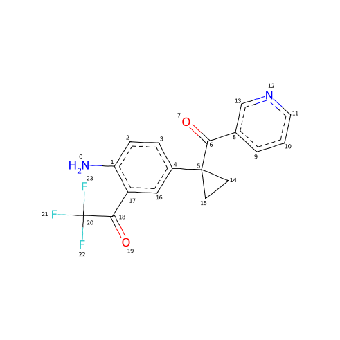 Nc1ccc(C2(C(=O)c3cccnc3)CC2)cc1C(=O)C(F)(F)F